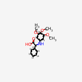 COc1cc(NC(C(=O)O)c2ccccc2)cc(OC)c1OC